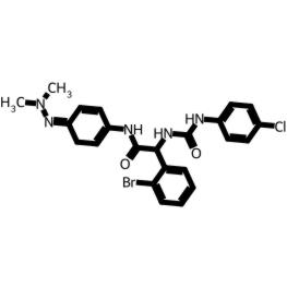 CN(C)N=C1C=CC(NC(=O)C(NC(=O)Nc2ccc(Cl)cc2)c2ccccc2Br)=CC1